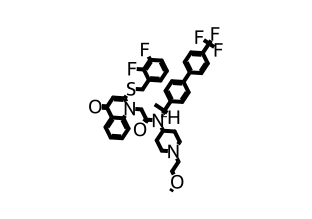 [2H]C(C)(c1ccc(-c2ccc(C(F)(F)F)cc2)cc1)N(C(=O)Cn1c(SCc2cccc(F)c2F)cc(=O)c2ccccc21)C1CCN(CCOC)CC1